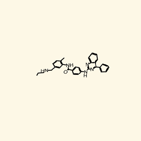 CCCNCc1ccc(C)c(NC(=O)c2ccc(Nc3nc(-c4ccccc4)c4ccccc4n3)cc2)c1